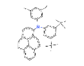 Cc1cc(C)cc(N(c2cc(C(C)(C)C)cc(C(C)(C)C)c2)c2ccc3ccc4cccc5ccc2c3c45)c1